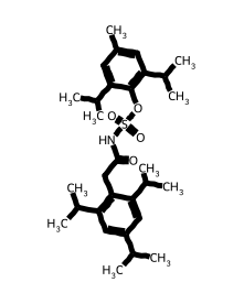 Cc1cc(C(C)C)c(OS(=O)(=O)NC(=O)Cc2c(C(C)C)cc(C(C)C)cc2C(C)C)c(C(C)C)c1